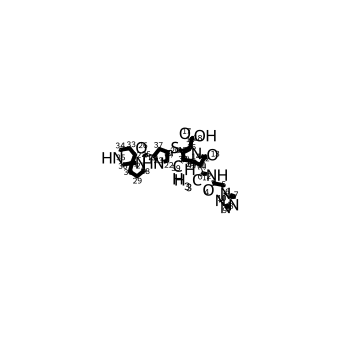 CC(NC(=O)Cn1cnnn1)[C@H]1C(=O)N2C(C(=O)O)=C(S[C@@H]3CN[C@H](C(=O)N4CCCC45CCCNC5)C3)[C@H](C)[C@H]12